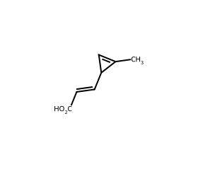 CC1=CC1/C=C/C(=O)O